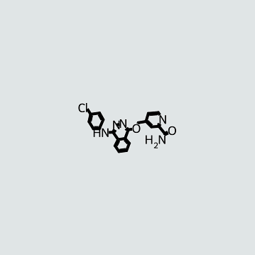 NC(=O)c1cc(COc2nnc(Nc3ccc(Cl)cc3)c3ccccc23)ccn1